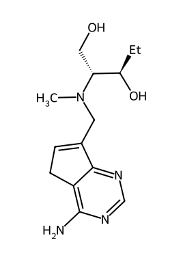 CC[C@@H](O)[C@@H](CO)N(C)CC1=CCc2c(N)ncnc21